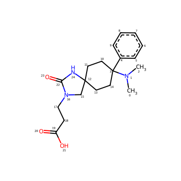 CN(C)C1(c2ccccc2)CCC2(CC1)CN(CCC(=O)O)C(=O)N2